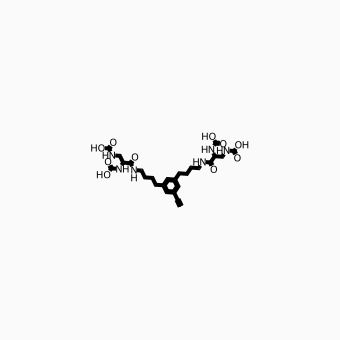 C#Cc1cc(CCCCNC(=O)C(CNC(=O)O)NC(=O)O)cc(CCCCNC(=O)C(CNC(=O)O)NC(=O)O)c1